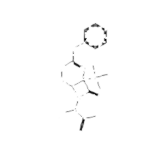 C=C(C)C(C(=O)O)N1C(=O)C2([Si](C)(C)C)N=C(Oc3ccccc3)SSC12